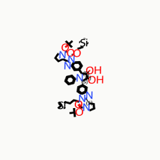 CC(C)(C)OC(=O)N1CCCC1c1nc2cc(C3[C@@H](O)[C@H](O)[C@H](c4ccc5c(c4)nc([C@@H]4CCCN4C(=O)OC(C)(C)C)n5CCCC[Si](C)(C)C)N3c3ccccc3)ccc2n1COCC[Si](C)(C)C